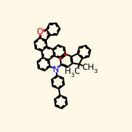 CC1(C)C2=C(CCC(N(c3ccc(-c4ccccc4)cc3)c3cccc4c5ccc6oc7ccccc7c6c5c5ccc#cc5c34)=C2)c2ccccc21